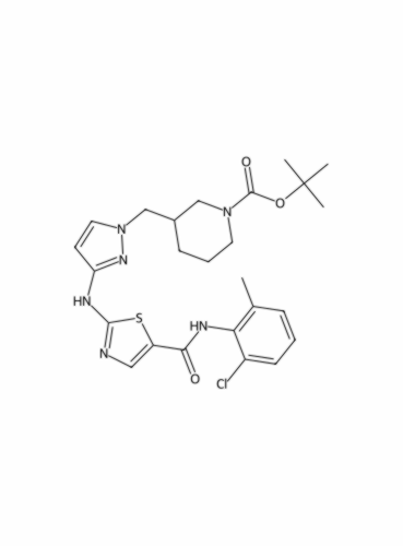 Cc1cccc(Cl)c1NC(=O)c1cnc(Nc2ccn(CC3CCCN(C(=O)OC(C)(C)C)C3)n2)s1